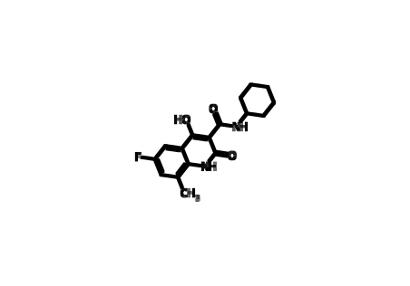 Cc1cc(F)cc2c(O)c(C(=O)NC3CCCCC3)c(=O)[nH]c12